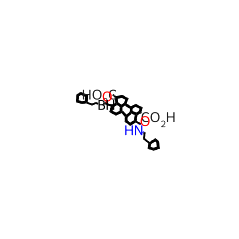 O=C(O)c1ccc2c3ccc(C(=O)O)c4c(C(=O)NCCc5ccccc5)ccc(c5ccc(C(=O)BCCc6ccccc6)c1c25)c43